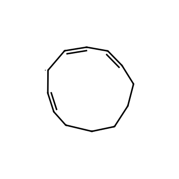 [CH]1C=CC=CCCCCCC=C1